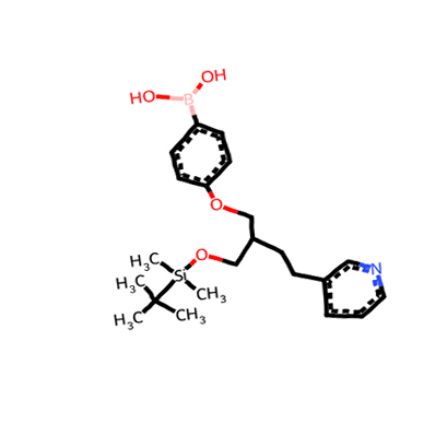 CC(C)(C)[Si](C)(C)OCC(CCc1cccnc1)COc1ccc(B(O)O)cc1